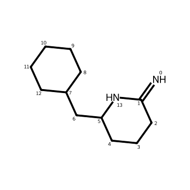 N=C1CCCC(CC2CCCCC2)N1